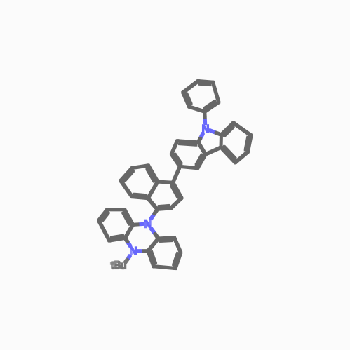 CC(C)(C)N1c2ccccc2N(c2ccc(-c3ccc4c(c3)c3ccccc3n4-c3ccccc3)c3ccccc23)c2ccccc21